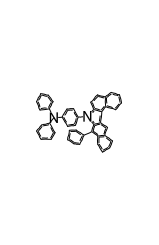 c1ccc(-c2c3ccccc3cc3c4c5ccccc5ccc4n(-c4ccc(N(c5ccccc5)c5ccccc5)cc4)c23)cc1